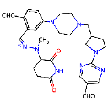 CN(/N=C\c1cc(N2CCN(CC3CCN(c4ncc(C=O)cn4)C3)CC2)ccc1C=O)C1CCC(=O)NC1=O